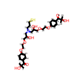 CC(C)(O)C(=O)c1ccc(OCCOCC(O)CN(CCCS)CC(O)COCCOc2ccc(C(=O)C(C)(C)O)cc2)cc1